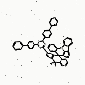 CC1(C)c2ccccc2C2(c3ccccc3-n3c4ccccc4c4cccc2c43)c2cc(-c3nc(-c4ccc(-c5ccccc5)cc4)nc(-c4ccc(-c5ccccc5)cc4)n3)ccc21